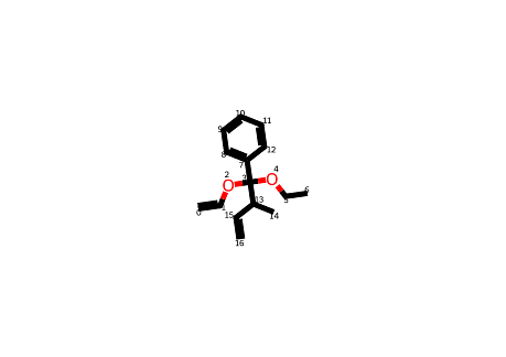 C=COC(OCC)(c1ccccc1)C(C)C=C